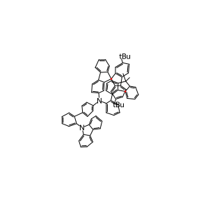 CC(C)(C)c1ccc2c(c1)C1(c3ccccc3-c3ccc(N(c4ccc(-c5ccccc5-n5c6ccccc6c6ccccc65)cc4)c4ccccc4-c4cccc5c4-c4ccccc4C5(C)C)cc31)c1cc(C(C)(C)C)ccc1-2